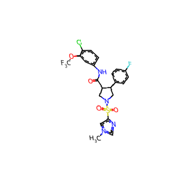 Cn1cnc(S(=O)(=O)N2CC(C(=O)Nc3ccc(Cl)c(OC(F)(F)F)c3)C(c3ccc(F)cc3)C2)c1